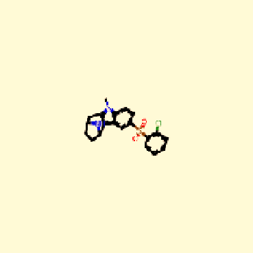 Cn1c2c(c3cc(S(=O)(=O)c4ccccc4Cl)ccc31)C1CCC(C2)N1